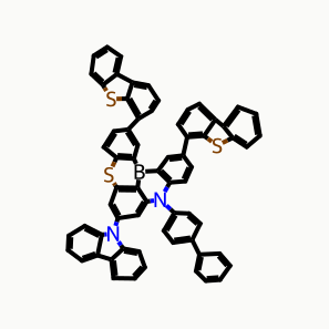 c1ccc(-c2ccc(N3c4ccc(-c5cccc6c5sc5ccccc56)cc4B4c5cc(-c6cccc7c6sc6ccccc67)ccc5Sc5cc(-n6c7ccccc7c7ccccc76)cc3c54)cc2)cc1